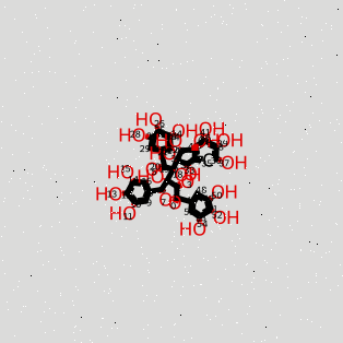 O=C(C(=O)[C@@](O)(C(=O)c1cc(O)c(O)c(O)c1)[C@](O)(C(=O)c1cc(O)c(O)c(O)c1)[C@@](O)(C(=O)c1cc(O)c(O)c(O)c1)[C@H](O)CO)c1cc(O)c(O)c(O)c1